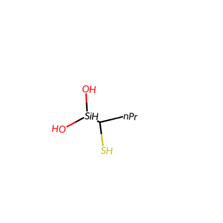 CCCC(S)[SiH](O)O